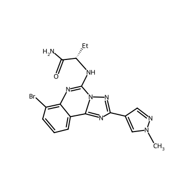 CC[C@H](Nc1nc2c(Br)cccc2c2nc(-c3cnn(C)c3)nn12)C(N)=O